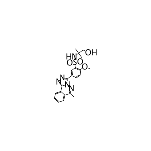 COc1ccc(-c2nnc3c4ccccc4c(C)nn23)cc1S(=O)(=O)NC(C)(C)CO